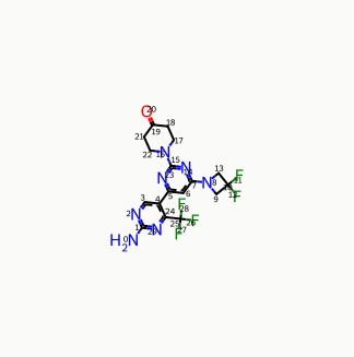 Nc1ncc(-c2cc(N3CC(F)(F)C3)nc(N3CCC(=O)CC3)n2)c(C(F)(F)F)n1